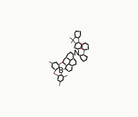 Cc1cc(C)c(B(c2c(C)cc(C)cc2C)c2ccc3ccc4c(N(c5ccc6c(c5)C(C)(C)c5ccccc5-6)c5ccccc5-c5ccccc5)ccc5ccc2c3c54)c(C)c1